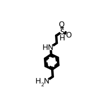 NCc1ccc(NCC[SH](=O)=O)cc1